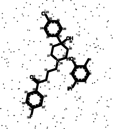 Cc1ccc(C(C)C)cc1O.O=C(CCCN1CCC(O)(c2ccc(Cl)cc2)CC1)c1ccc(F)cc1